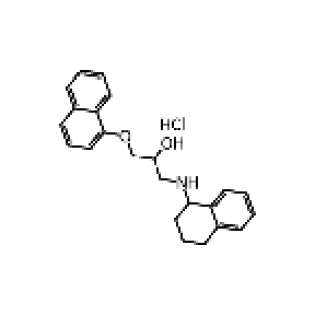 Cl.OC(CNC1CCCc2ccccc21)COc1cccc2ccccc12